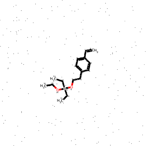 C=Cc1ccc(CCO[Si](CC)(CC)OCC)cc1